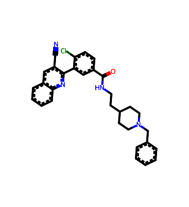 N#Cc1cc2ccccc2nc1-c1cc(C(=O)NCCC2CCN(Cc3ccccc3)CC2)ccc1Cl